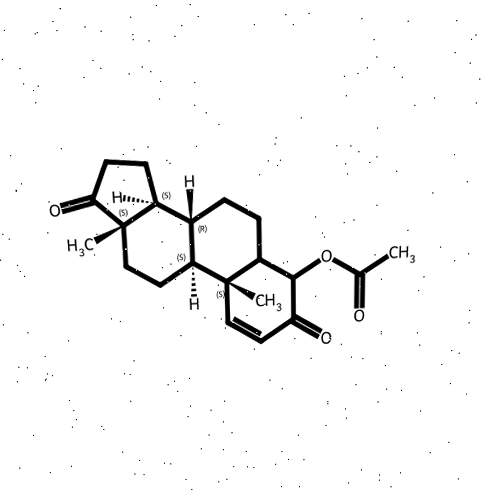 CC(=O)OC1C(=O)C=C[C@@]2(C)C1CC[C@@H]1[C@@H]2CC[C@]2(C)C(=O)CC[C@@H]12